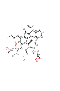 CCCCc1cc(C2(c3cc(CCCC)c(OCC4CO4)c(CCCC)c3)c3ccccc3C3C=CC=CC32)ccc1OCC1CO1